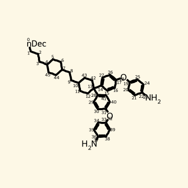 CCCCCCCCCCCCCC1CCC(CCC2CCC(c3ccc(Oc4ccc(N)cc4)cc3)(c3ccc(Oc4ccc(N)cc4)cc3)CC2)CC1